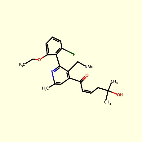 CNCc1c(C(=O)/C=C\CC(C)(C)O)cc(C)nc1-c1c(F)cccc1OCC(F)(F)F